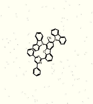 N#Cc1c(-n2c3ccccc3c3ccccc32)cc2c(oc3c(-c4nc(-c5ccccc5)cc(-c5ccccc5)n4)cccc32)c1-n1c2ccccc2c2ccccc21